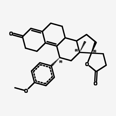 COc1ccc([C@H]2C[C@@]3(C)C(CC[C@]34CCC(=O)O4)C3CCC4=CC(=O)CCC4=C32)cc1